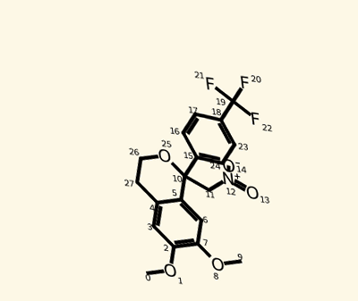 COc1cc2c(cc1OC)C(C[N+](=O)[O-])(c1ccc(C(F)(F)F)cc1)OCC2